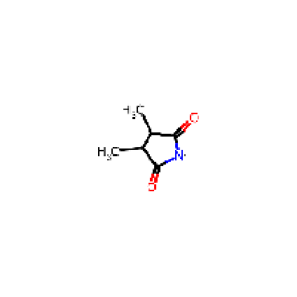 CC1C(=O)[N]C(=O)C1C